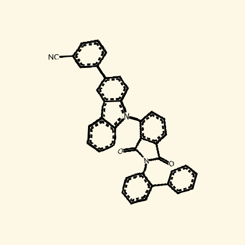 N#Cc1cccc(-c2ccc3c(c2)c2ccccc2n3-c2cccc3c2C(=O)N(c2ccccc2-c2ccccc2)C3=O)c1